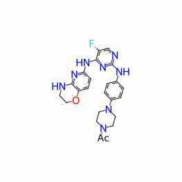 CC(=O)N1CCN(c2ccc(Nc3ncc(F)c(Nc4ccc5c(n4)NCCO5)n3)cc2)CC1